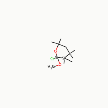 CC1(C)C[Si](C)(C)[Si](C)(C)[Si](Cl)(O[SiH3])O1